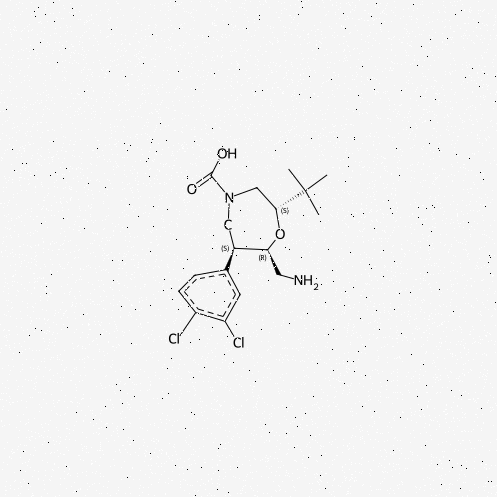 CC(C)(C)[C@H]1CN(C(=O)O)C[C@H](c2ccc(Cl)c(Cl)c2)[C@H](CN)O1